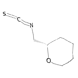 S=C=NC[C@@H]1CCCCO1